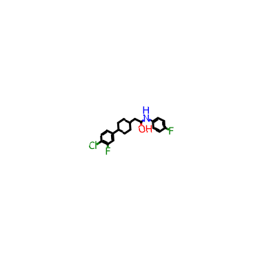 OC(CC1CCC(c2ccc(Cl)c(F)c2)CC1)Nc1ccc(F)cc1